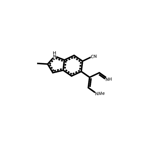 CN/C=C(\C=N)c1cc2cc(C)[nH]c2cc1C#N